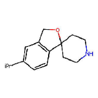 CC(C)c1ccc2c(c1)COC21CCNCC1